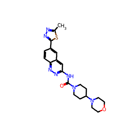 Cc1nnc(-c2ccc3nnc(NC(=O)N4CCC(N5CCOCC5)CC4)cc3c2)s1